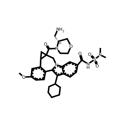 COc1ccc2c(c1)C1CC1(C(=O)N1CCOC[C@H]1CN)Cn1c-2c(C2CCCCC2)c2ccc(C(=O)NS(=O)(=O)N(C)C)cc21